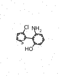 Nc1cccc(O)c1-c1sccc1Cl